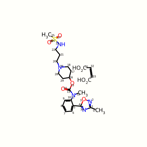 Cc1noc(-c2ccccc2N(C)C(=O)OC2CCN(CCCNS(C)(=O)=O)CC2)n1.O=C(O)/C=C\C(=O)O